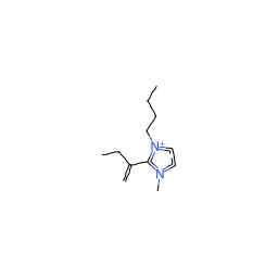 C=C(CC)c1n(C)cc[n+]1CCCC